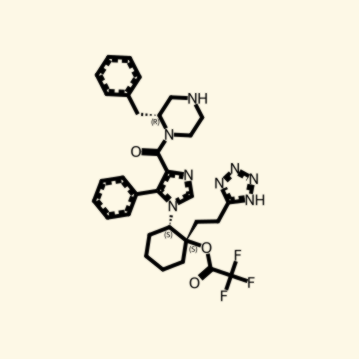 O=C(c1ncn([C@H]2CCCC[C@@]2(CCc2nnn[nH]2)OC(=O)C(F)(F)F)c1-c1ccccc1)N1CCNC[C@H]1Cc1ccccc1